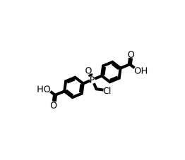 O=C(O)c1ccc(P(=O)(CCl)c2ccc(C(=O)O)cc2)cc1